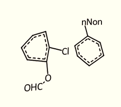 CCCCCCCCCc1ccccc1.O=COc1ccccc1Cl